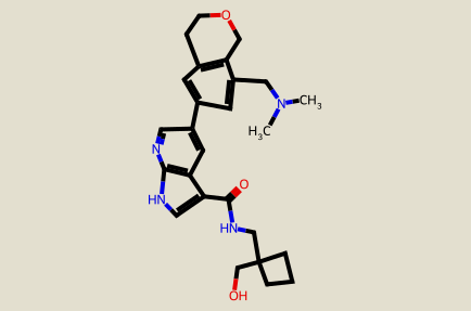 CN(C)Cc1cc(-c2cnc3[nH]cc(C(=O)NCC4(CO)CCC4)c3c2)cc2c1COCC2